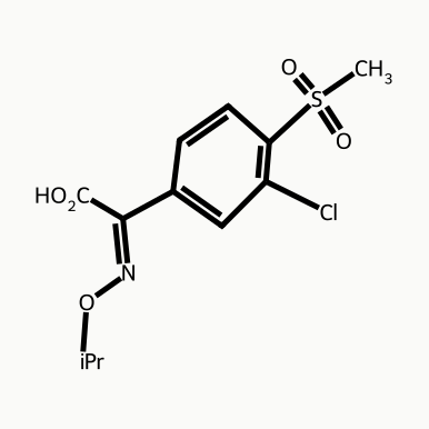 CC(C)ON=C(C(=O)O)c1ccc(S(C)(=O)=O)c(Cl)c1